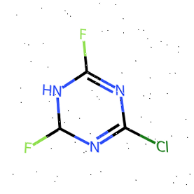 FC1=NC(Cl)=NC(F)N1